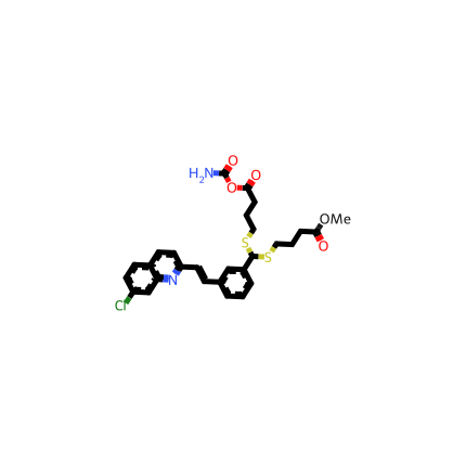 COC(=O)CCCSC(SCCCC(=O)OC(N)=O)c1cccc(C=Cc2ccc3ccc(Cl)cc3n2)c1